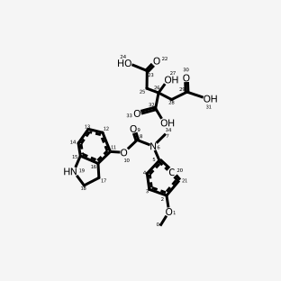 COc1ccc(N(C)C(=O)Oc2cccc3c2CCN3)cc1.O=C(O)CC(O)(CC(=O)O)C(=O)O